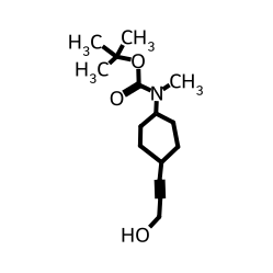 CN(C(=O)OC(C)(C)C)C1CCC(C#CCO)CC1